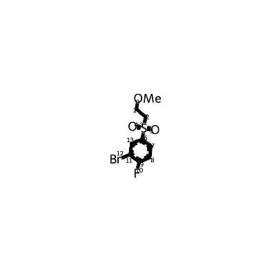 COCCS(=O)(=O)c1ccc(F)c(Br)c1